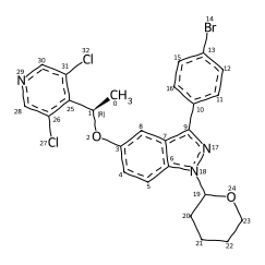 C[C@@H](Oc1ccc2c(c1)c(-c1ccc(Br)cc1)nn2C1CCCCO1)c1c(Cl)cncc1Cl